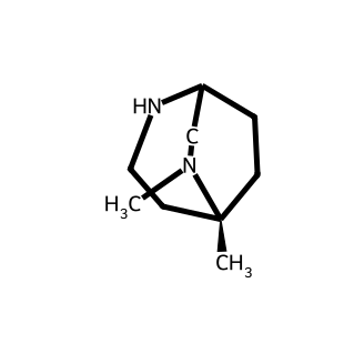 CN1CC2CC[C@]1(C)CCN2